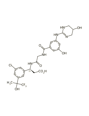 CC(O)(c1cc(Cl)cc([C@H](CC(=O)O)NC(=O)CNC(=O)c2cc(O)cc(NC3=NCC(O)CN3)c2)c1)C(F)(F)F